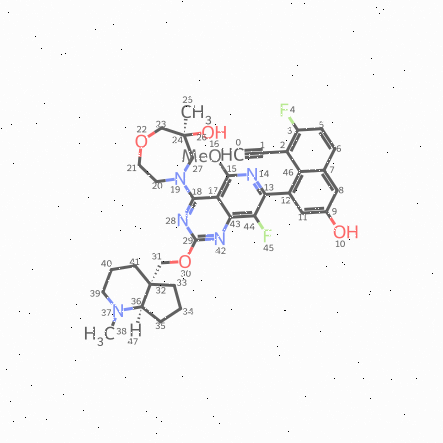 C#Cc1c(F)ccc2cc(O)cc(-c3nc(OC)c4c(N5CCOC[C@@](C)(O)C5)nc(OC[C@]56CCC[C@H]5N(C)CCC6)nc4c3F)c12